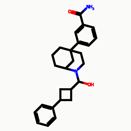 NC(=O)c1cccc(C23CCCC(C2)N(C(O)C2CC(c4ccccc4)C2)CC3)c1